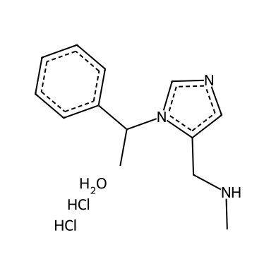 CNCc1cncn1C(C)c1ccccc1.Cl.Cl.O